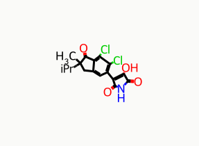 CC(C)C1(C)Cc2cc(C3=C(O)C(=O)NC3=O)c(Cl)c(Cl)c2C1=O